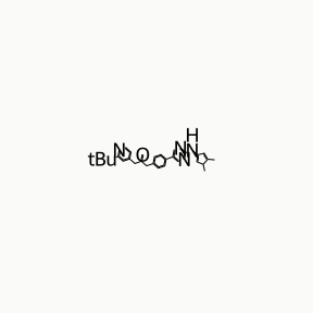 CC1=CC(Nc2ncc(-c3ccc(CC(=O)Cc4ccnc(C(C)(C)C)c4)cc3)cn2)=CC1C